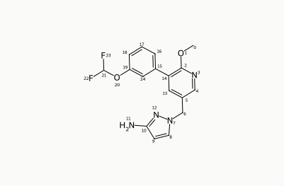 COc1ncc(Cn2ccc(N)n2)cc1-c1cccc(OC(F)F)c1